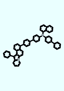 c1ccc(-c2ccc(N(c3ccc(-c4ccc(-c5cccc6c5ccc5c6c(-c6ccccc6)c6ccccn65)cc4)cc3)c3cccc4ccccc34)cc2)cc1